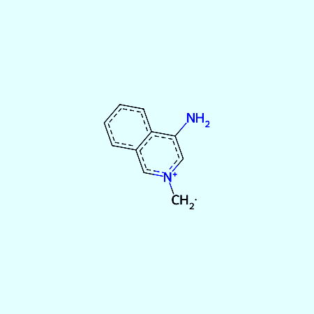 [CH2][n+]1cc(N)c2ccccc2c1